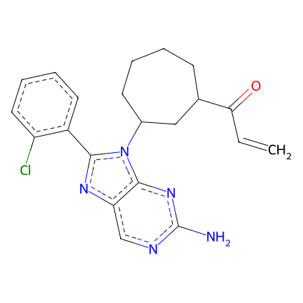 C=CC(=O)C1CCCCC(n2c(-c3ccccc3Cl)nc3cnc(N)nc32)C1